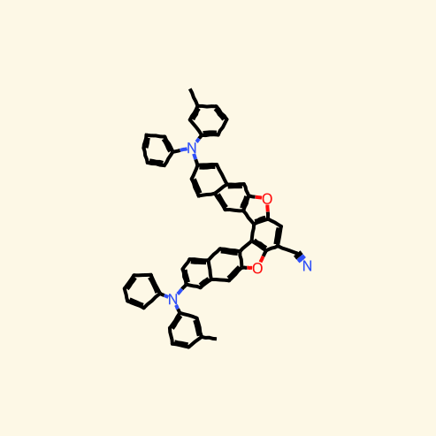 Cc1cccc(N(c2ccccc2)c2ccc3cc4c(cc3c2)oc2cc(C#N)c3oc5cc6cc(N(c7ccccc7)c7cccc(C)c7)ccc6cc5c3c24)c1